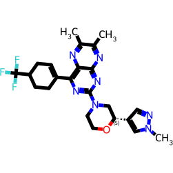 Cc1nc2nc(N3CCO[C@@H](c4cnn(C)c4)C3)nc(C3=CCC(C(F)(F)F)CC3)c2nc1C